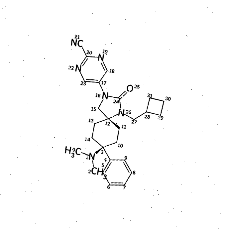 CN(C)[C@]1(c2ccccc2)CC[C@@]2(CC1)CN(c1cnc(C#N)nc1)C(=O)N2CC1CCC1